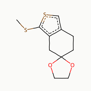 CSc1scc2c1CC1(CC2)OCCO1